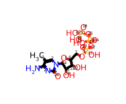 Cc1cn(C2OC(COP(=O)(O)OP(=O)(O)OP(=O)(O)O)C(O)C2O)c(=O)nc1N